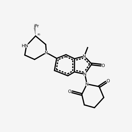 CC(C)[C@@H]1CN(c2ccc3c(c2)n(C)c(=O)n3N2C(=O)CCCC2=O)CCN1